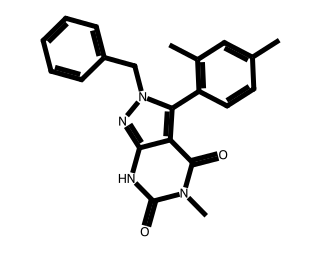 Cc1ccc(-c2c3c(=O)n(C)c(=O)[nH]c3nn2Cc2ccccc2)c(C)c1